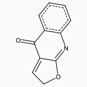 O=C1C2=CCOC2=Nc2ccccc21